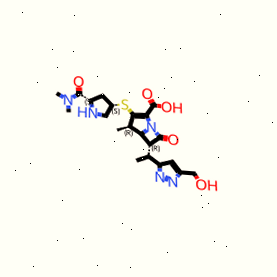 CC(C1C=C(CO)N=N1)[C@H]1C(=O)N2C(C(=O)O)=C(S[C@@H]3CN[C@H](C(=O)N(C)C)C3)[C@H](C)C12